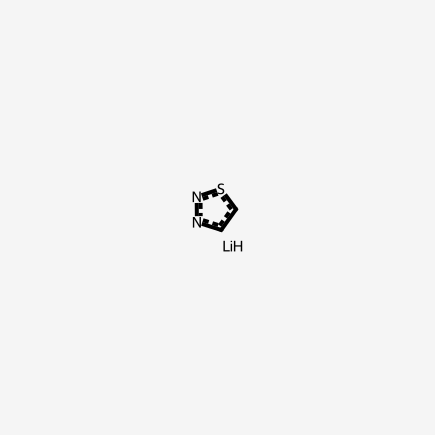 [LiH].c1csnn1